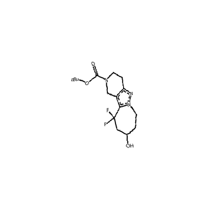 CC(C)(C)OC(=O)N1CCc2nn3c(c2C1)C(F)(F)CC(O)CC3